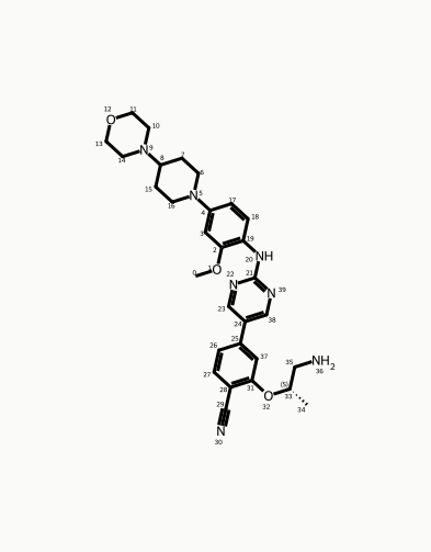 COc1cc(N2CCC(N3CCOCC3)CC2)ccc1Nc1ncc(-c2ccc(C#N)c(O[C@@H](C)CN)c2)cn1